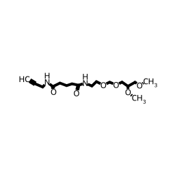 C#CCNC(=O)CCCC(=O)NCCOCOCC(COC)OC